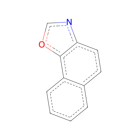 c1ccc2c(c1)ccc1ncoc12